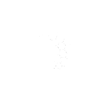 Cn1c(=O)c(C(=O)NCC(=O)O)c(O)c2cc(-c3cccs3)ccc21